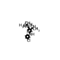 CC(C)c1cc(Nc2cccc(Cl)c2)ncc1CNC(C)(C)C